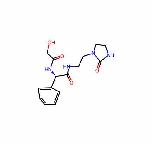 O=C(CO)N[C@@H](C(=O)NCCN1CCNC1=O)c1ccccc1